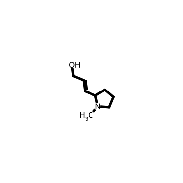 CN1CCCC1C=CCO